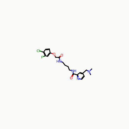 CN(C)Cc1ccnc(C(=O)NCCCCNC(=O)COc2ccc(Cl)c(F)c2)c1